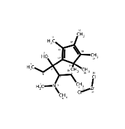 CCC(N(C)C)C(O)(CC)C1=C(C)C(C)=C(C)C1(C)C.[Cl][Zr][Cl]